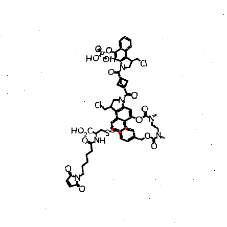 CN(CCN(C)C(=O)Oc1cc2c(c3ccccc13)C(CCl)CN2C(=O)C12CC(C(=O)N3CC(CCl)c4c3cc(OP(=O)(O)O)c3ccccc43)(C1)C2)C(=O)OCc1ccc(SSCC(NC(=O)CCCCCN2C(=O)C=CC2=O)C(=O)O)cc1